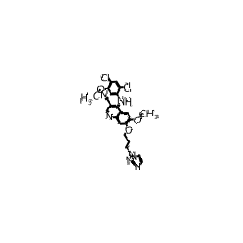 COc1cc(Nc2c(C#N)cnc3cc(OCCCn4ccnn4)c(OC)cc23)c(Cl)cc1Cl